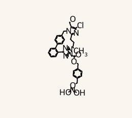 CCCCc1nc(Cl)c(C=O)n1Cc1ccc(-c2ccccc2-c2nnn(C(=O)OCc3ccc(CON(O)O)cc3)n2)cc1